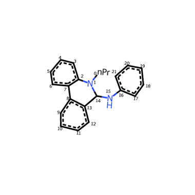 CCCN1c2ccccc2-c2ccccc2C1Nc1ccccc1